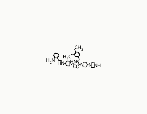 CCc1ccc(C[C@@H](NC(=O)N2CCC(NCCc3ccccc3N)CC2)C(=O)N2CCC(N3CCNCC3)CC2)cc1CC